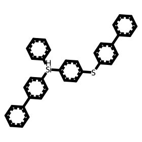 c1ccc(-c2ccc(Sc3ccc([SiH](c4ccccc4)c4ccc(-c5ccccc5)cc4)cc3)cc2)cc1